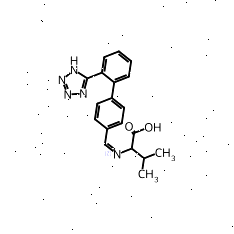 CC(C)C(/N=C\c1ccc(-c2ccccc2-c2nnn[nH]2)cc1)C(=O)O